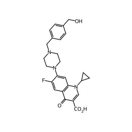 O=C(O)c1cn(C2CC2)c2cc(N3CCN(Cc4ccc(CO)cc4)CC3)c(F)cc2c1=O